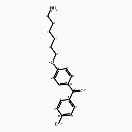 NCCCCCCOc1ccc(C(=O)c2ccc(Br)cc2)cc1